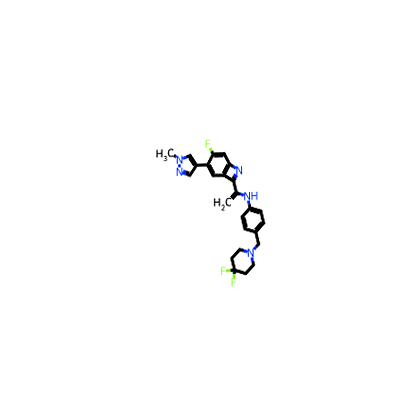 C=C(Nc1ccc(CN2CCC(F)(F)CC2)cc1)C1=Nc2cc(F)c(-c3cnn(C)c3)cc21